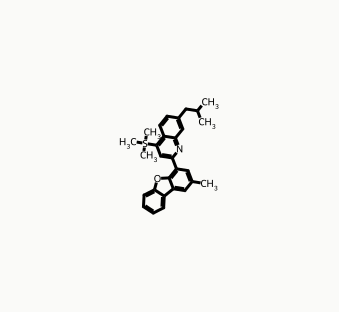 Cc1cc(-c2cc(S(C)(C)C)c3ccc(CC(C)C)cc3n2)c2oc3ccccc3c2c1